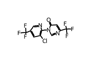 O=c1cc(C(F)(F)F)ncn1-c1ncc(C(F)(F)F)cc1Cl